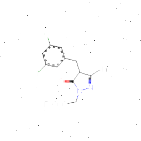 CCOC(=O)CN1N=C(C(C)C)C(Cc2cc(Cl)cc(Cl)c2)C1=O